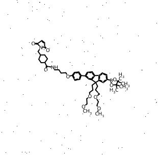 COCCOCCCC1(CCCOCCOC)c2cc(B3OC(C)(C)C(C)(C)O3)ccc2-c2ccc(-c3ccc(OCCCCNC(=O)C4CCC(CN5C(=O)C=CC5=O)CC4)cc3)cc21